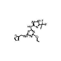 CCOc1nc(NCc2ccco2)nc(Nc2n[nH]c(C(F)(F)F)n2)n1